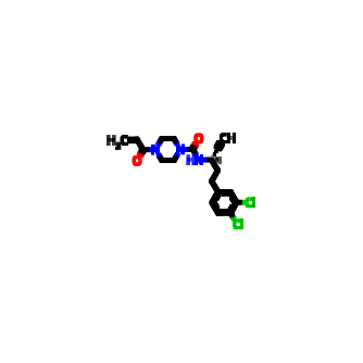 C#C[C@H](CCc1ccc(Cl)c(Cl)c1)NC(=O)N1CCN(C(=O)C=C)CC1